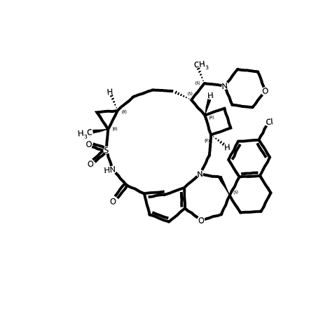 C[C@@H]([C@H]1CCC[C@@H]2C[C@@]2(C)S(=O)(=O)NC(=O)c2ccc3c(c2)N(C[C@@H]2CC[C@H]21)C[C@@]1(CCCc2cc(Cl)ccc21)CO3)N1CCOCC1